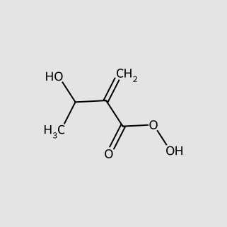 C=C(C(=O)OO)C(C)O